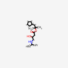 CCCCC(CCC)NCC(O)CC(=O)OC(C)(C)CC1CCCC1